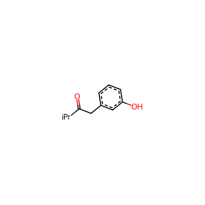 CC(C)C(=O)Cc1cccc(O)c1